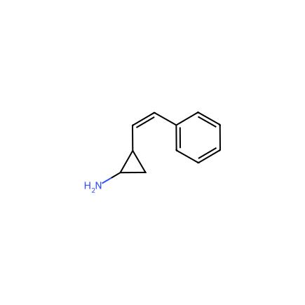 NC1CC1/C=C\c1ccccc1